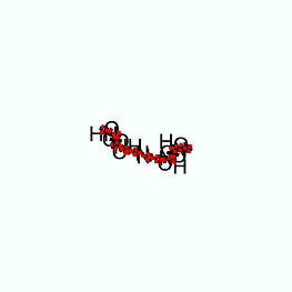 O=C(Nc1cccc2c1C(=O)c1cccc(NC(=O)c3ccc(-c4ccc(N=Nc5ccc(-c6ccc(C(=O)Nc7cccc8c7C(=O)c7cccc(NC(=O)c9ccccc9)c7C8=O)cc6)cc5)cc4)cc3)c1C2=O)c1ccccc1